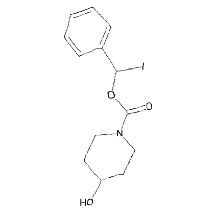 O=C(OC(I)c1ccccc1)N1CCC(O)CC1